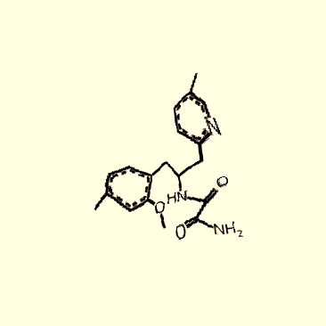 COc1cc(C)ccc1CC(Cc1ccc(C)cn1)NC(=O)C(N)=O